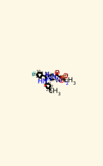 Cc1ccc(Nc2c(-c3ccc(F)cc3)nc3n2CCN(C(=O)[C@@H](N)CS(C)(=O)=O)C3)cc1